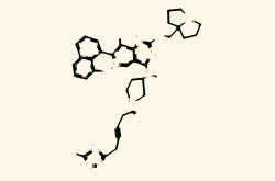 Cc1nsc(CC#CCC(=O)N2CCC(N(C)c3nc(OCC45CCCN4CCC5)nc4c(F)c(-c5cccc6cccc(Cl)c56)ncc34)C2)n1